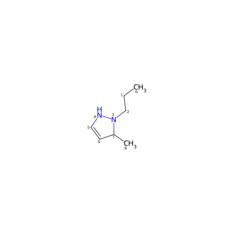 CCCN1NC=CC1C